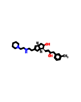 Cc1cccc(C[C@@H](O)/C=C/[C@@H]2[C@H]3CC(CCNCCN4CCCCC4)=C[C@H]3C[C@H]2O)c1